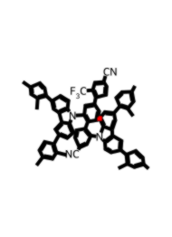 Cc1ccc(-c2ccc3c(c2)c2cc(-c4ccc(C)cc4C)ccc2n3-c2cc(C#N)ccc2-c2ccc(-c3ccc(C#N)cc3C(F)(F)F)cc2-n2c3ccc(-c4ccc(C)cc4C)cc3c3cc(-c4ccc(C)cc4C)ccc32)c(C)c1